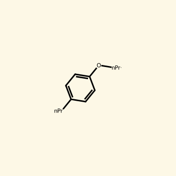 CC[CH]Oc1ccc(CCC)cc1